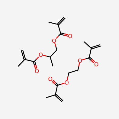 C=C(C)C(=O)OCC(C)OC(=O)C(=C)C.C=C(C)C(=O)OCCOC(=O)C(=C)C